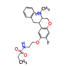 CCS(=O)(=O)NCCOc1cc2c(cc1F)OCC(NC)C2Cc1ccccc1